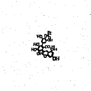 CCC(=O)Oc1c(O)cc(-c2c(O)c(O)c(O)c(C3COc4cc(O)cc(O)c4C3)c2C(=O)O)cc1O